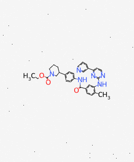 CCOC(=O)N1CCCC(c2ccc(NC(=O)c3ccc(C)c(Nc4nccc(-c5cccnc5)n4)c3)cc2)C1